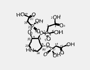 O=C(O)CP(=O)(O)OC1[C@H](OP(=O)(O)CC(=O)O)CNC[C@H]1OP(=O)(O)CC(=O)O